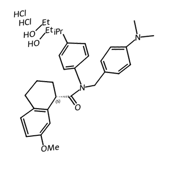 CCO.CCO.COc1ccc2c(c1)[C@@H](C(=O)N(Cc1ccc(N(C)C)cc1)c1ccc(C(C)C)cc1)CCC2.Cl.Cl